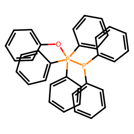 c1ccc(OP(c2ccccc2)(c2ccccc2)(c2ccccc2)P(c2ccccc2)c2ccccc2)cc1